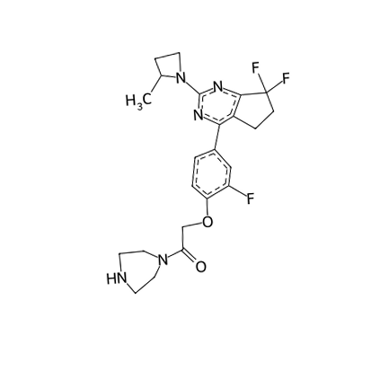 CC1CCN1c1nc(-c2ccc(OCC(=O)N3CCNCC3)c(F)c2)c2c(n1)C(F)(F)CC2